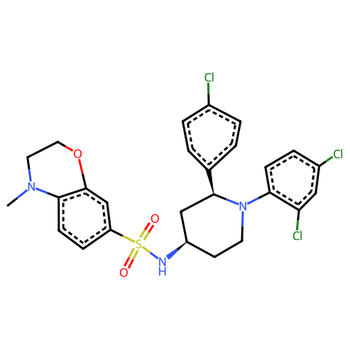 CN1CCOc2cc(S(=O)(=O)N[C@@H]3CCN(c4ccc(Cl)cc4Cl)[C@H](c4ccc(Cl)cc4)C3)ccc21